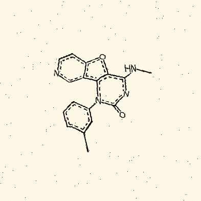 CNc1nc(=O)n(-c2cccc(C)c2)c2c1oc1ccncc12